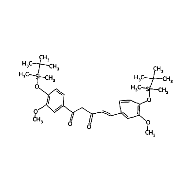 COc1cc(C=CC(=O)CC(=O)c2ccc(O[Si](C)(C)C(C)(C)C)c(OC)c2)ccc1O[Si](C)(C)C(C)(C)C